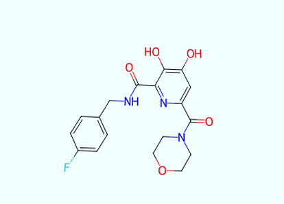 O=C(NCc1ccc(F)cc1)c1nc(C(=O)N2CCOCC2)cc(O)c1O